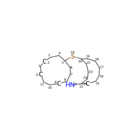 C1CCCCC2CCC(CCC1)NC1CCCCCCC(CCC1)S2